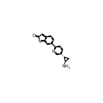 N[C@@H]1C[C@H]1c1ccc(-c2ccc3c(c2)=NC(=O)C=3)nc1